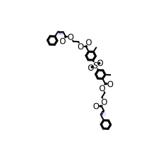 Cc1cc(S(=O)(=O)c2ccc(C(=O)OCCOC(=O)/C=C/c3ccccc3)c(C)c2)ccc1C(=O)OCCOC(=O)/C=C\c1ccccc1